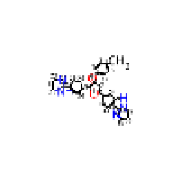 Cc1ccc(Oc2cc(-c3ccc(C4N=CCCN4)cc3)oc2-c2ccc(C3N=CCCN3)cc2)cc1